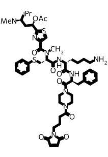 CN[C@H](C[C@@H](OC(C)=O)c1nc(C(=O)N(C)[C@@H](CSc2ccccc2)C(=O)N[C@H](CCCCN)C(=O)N[C@@H](Cc2ccccc2)C(=O)N2CCN(C(=O)CCCN3C(=O)C=CC3=O)CC2)cs1)C(C)C